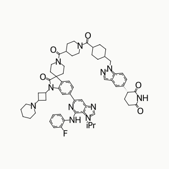 CC(C)n1cnc2cc(-c3ccc4c(c3)N(C3CC(N5CCCCC5)C3)C(=O)C43CCN(C(=O)C4CCN(C(=O)C5CCC(Cn6ncc7cc([C@H]8CCC(=O)NC8=O)ccc76)CC5)CC4)CC3)nc(Nc3ccccc3F)c21